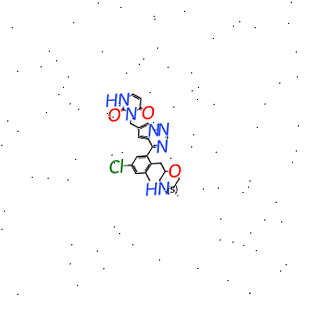 Cc1cc(Cl)cc(-c2ncnn3cc(Cn4c(=O)cc[nH]c4=O)cc23)c1CC1CN[C@@H](C)CO1